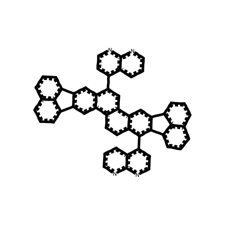 c1cc2c3c(cccc3c1)-c1cc3c(cc1-2)c(-c1ccnc2ncccc12)cc1c2cc4c(c(-c5ccnc6ncccc56)c2ccc31)-c1cccc2cccc-4c12